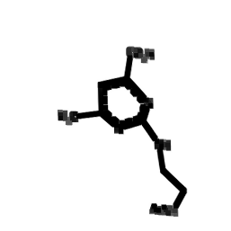 CC(=O)NCCNc1nc(C)cc(C(=O)O)n1